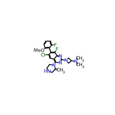 COc1cccc(F)c1-c1c(Cl)cc2c(N3CCNC[C@@H]3C)nc(N3CC(N(C)C)C3)nc2c1F